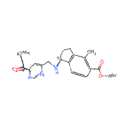 COC(=O)c1cc(CN[C@H]2CCc3c2ccc(C(=O)OC(C)(C)C)c3C)ncn1